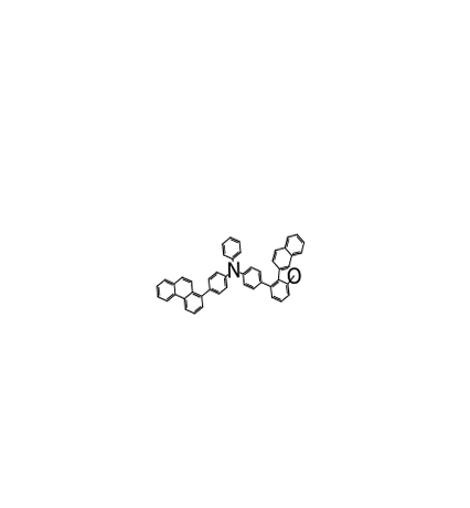 c1ccc(N(c2ccc(-c3cccc4c3ccc3ccccc34)cc2)c2ccc(-c3cccc4oc5c6ccccc6ccc5c34)cc2)cc1